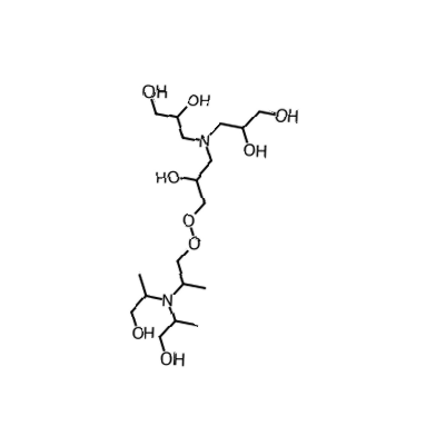 CC(CO)N(C(C)CO)C(C)COOCC(O)CN(CC(O)CO)CC(O)CO